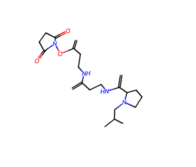 C=C(CCNC(=C)C1CCCN1CC(C)C)NCCC(=C)ON1C(=O)CCC1=O